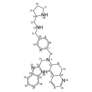 C1=CC2=CC(N(Cc3ccc(CNCC4CCCN4)cc3)Cc3nc4ccccc4[nH]3)CCC2N=C1